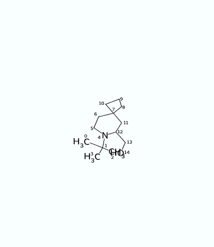 CC(C)(C)N1CCC2(CCC2)CC1CO